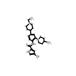 CC1CCN(c2cc(C3CCN(CC(F)(F)F)CC3)ccc2NC(=O)c2cc(C#N)c[nH]2)CC1